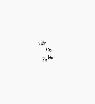 Br.[Co].[Mn].[Zn]